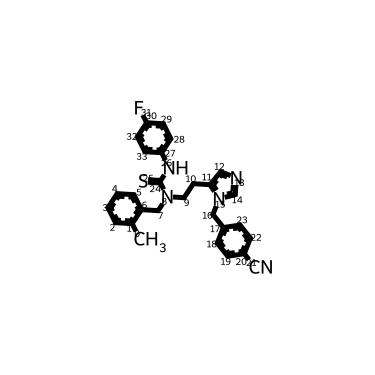 Cc1ccccc1CN(CCc1cncn1Cc1ccc(C#N)cc1)C(=S)Nc1ccc(F)cc1